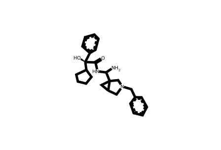 NC(NC(=O)[C@@](O)(c1ccccc1)C1CCCC1)C12CC1CN(Cc1ccccc1)C2